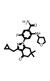 CC1(C)CC(=O)c2c(CC3CC3)nn(-c3cc(NC4CCOC4)c(C(N)=O)cc3F)c2C1